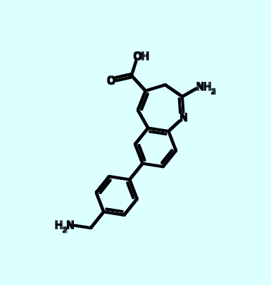 NCc1ccc(-c2ccc3c(c2)C=C(C(=O)O)CC(N)=N3)cc1